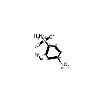 CC(C)C.NS(=O)(=O)c1ccc([N+](=O)[O-])cc1